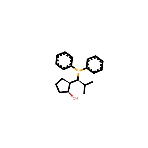 CC(C)[C@@H]([C@@H]1CCC[C@@H]1O)P(c1ccccc1)c1ccccc1